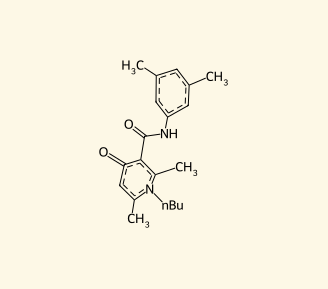 CCCCn1c(C)cc(=O)c(C(=O)Nc2cc(C)cc(C)c2)c1C